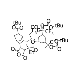 CCC(C)(C(=O)OC1CC(C(C)(OC(=O)OC(C)(C)C)C(F)(F)F)CC(C(OC(=O)OC(C)(C)C)(C(F)(F)F)C(F)(F)F)C1)C1C(=O)OC(=O)C1C1C2CC(C(=O)OC(C)(C)C)C(C2)C1CC(C)CCC(=O)O